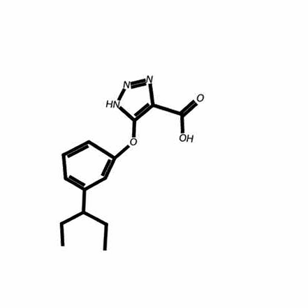 CCC(CC)c1cccc(Oc2[nH]nnc2C(=O)O)c1